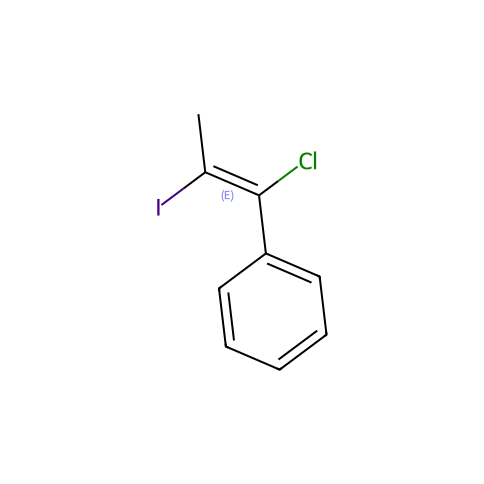 C/C(I)=C(\Cl)c1ccccc1